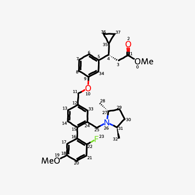 COC(=O)C[C@H](c1cccc(OCc2ccc(-c3cc(OC)ccc3F)c(CN3[C@H](C)CC[C@H]3C)c2)c1)C1CC1